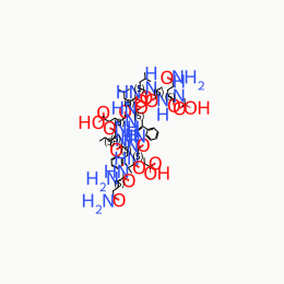 CC[C@H](C)[C@H](NC(=O)[C@H](Cc1ccccc1)NC(=O)[C@H](CCC(=O)O)NC(=O)C(C)(C)NC(=O)[C@@H](N)CCC(N)=O)C(=O)N[C@@H](CCC(=O)O)C(=O)N[C@@H](Cc1c[nH]c2ccccc12)C(=O)N[C@@H](CC(C)C)C(=O)N[C@@H](CC(C)C)C(=O)N[C@@H](C)C(=O)N[C@@H](CCC(N)=O)C(=O)NCC(=O)O